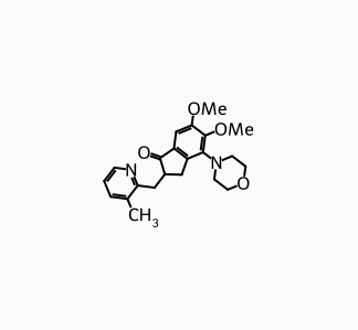 COc1cc2c(c(N3CCOCC3)c1OC)CC(Cc1ncccc1C)C2=O